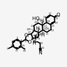 Cc1ccc(C2O[C@@H]3C[C@H]4[C@@H]5CCC6=CC(=O)C=C[C@]6(C)[C@H]5[C@@H](O)C[C@]4(C)[C@]3(C(=O)SCC#N)O2)c(C)c1